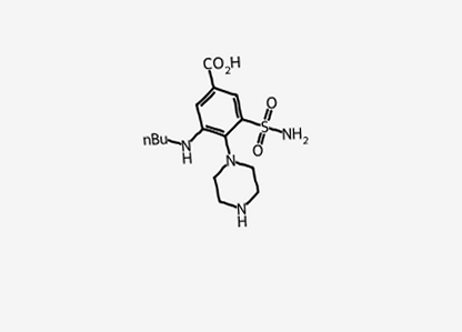 CCCCNc1cc(C(=O)O)cc(S(N)(=O)=O)c1N1CCNCC1